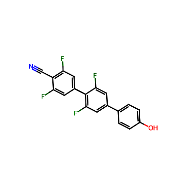 N#Cc1c(F)cc(-c2c(F)cc(-c3ccc(O)cc3)cc2F)cc1F